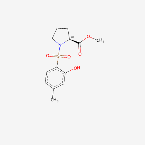 COC(=O)[C@@H]1CCCN1S(=O)(=O)c1ccc(C)cc1O